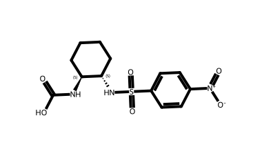 O=C(O)N[C@H]1CCCC[C@@H]1NS(=O)(=O)c1ccc([N+](=O)[O-])cc1